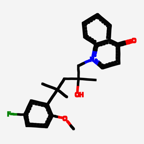 COc1ccc(F)cc1C(C)(C)CC(C)(O)Cn1ccc(=O)c2ccccc21